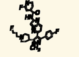 Cn1nc(-c2ccc(F)cc2)c(-c2ccc3nc(NC(=O)c4ccnc(F)c4)cn3n2)c1C1CCN(CCCF)CC1